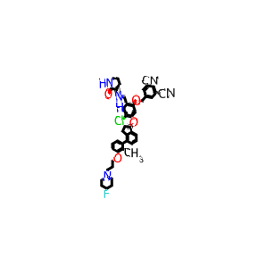 Cc1c(OCCCN2CCC(F)CC2)cccc1-c1cccc2c1CC[C@@H]2Oc1cc(OCc2cc(C#N)cc(C#N)c2)c(CN[C@@H]2CCCNC2=O)cc1Cl